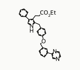 CCOC(=O)CCc1c(-c2ccccc2)c[nH]c1Cc1ccc(OCc2cccc(-c3cnccn3)c2)cc1